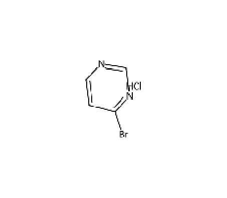 Brc1ccncn1.Cl